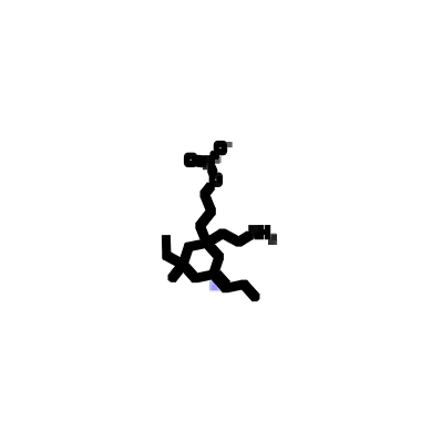 CC/C=C1/CC(C)(CC)CC(CCN)(CCCO[N+](=O)[O-])C1